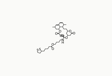 CCC(C)C(=O)OC1CC(C)C=C2C=CC(C)C(CCC3CC(OC(=O)NCCCCOC(=O)CCCCC4CCSS4)CC(=O)O3)C21